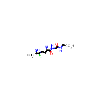 NC(C(=O)O)C(Cl)CC[C@H](N)C(=O)NCC(=O)NCC(=O)O